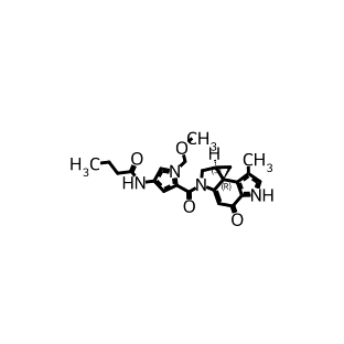 CCCC(=O)Nc1cc(C(=O)N2C[C@H]3C[C@@]34C2=CC(=O)c2[nH]cc(C)c24)n(COC)c1